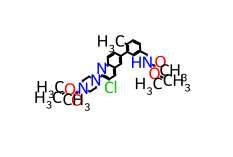 Cc1ccc(CNC(=O)OC(C)(C)C)cc1-c1ccc2nc(N3CCN(C(=O)OC(C)(C)C)CC3)c(Cl)cc2c1